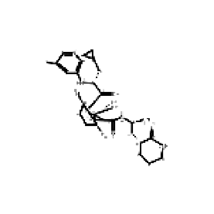 Cc1cncc(N[C@H](CC2CC2)C(=O)N2[C@H]3CC[C@@H]([C@@H]2C(=O)N[C@@H](C#N)C[C@H]2CCCNC2=O)C(F)(F)C3)c1